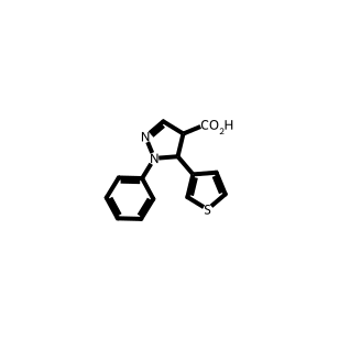 O=C(O)C1C=NN(c2ccccc2)C1c1ccsc1